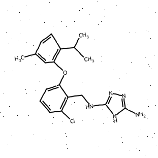 Cc1ccc(C(C)C)c(Oc2cccc(Cl)c2CNc2nnc(N)[nH]2)c1